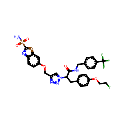 NS(=O)(=O)c1nc2ccc(OCc3cn(C(Cc4ccc(OCCF)cc4)C(=O)NCc4ccc(C(F)(F)F)cc4)nn3)cc2s1